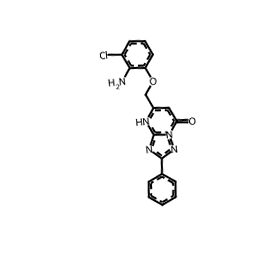 Nc1c(Cl)cccc1OCc1cc(=O)n2nc(-c3ccccc3)nc2[nH]1